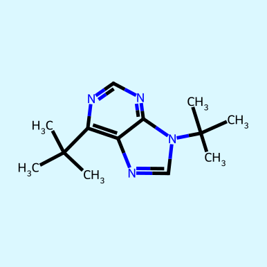 CC(C)(C)c1ncnc2c1ncn2C(C)(C)C